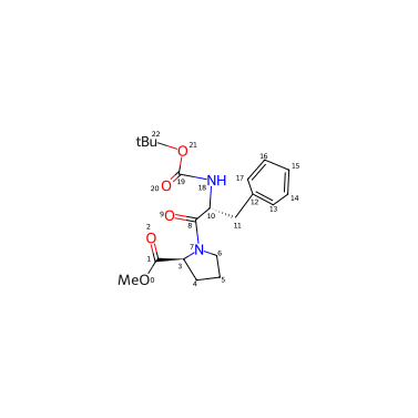 COC(=O)[C@@H]1CCCN1C(=O)[C@@H](Cc1ccccc1)NC(=O)OC(C)(C)C